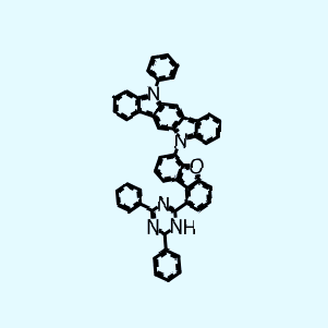 c1ccc(C2=NC(c3ccccc3)NC(c3cccc4oc5c(-n6c7ccccc7c7cc8c(cc76)c6ccccc6n8-c6ccccc6)cccc5c34)=N2)cc1